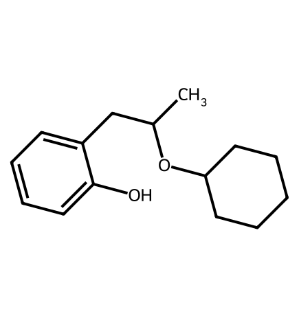 CC(Cc1ccccc1O)OC1CCCCC1